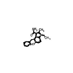 CCn1c(C)c(C(N)=O)c2c(Cc3ccccc3)c(O)ccc21